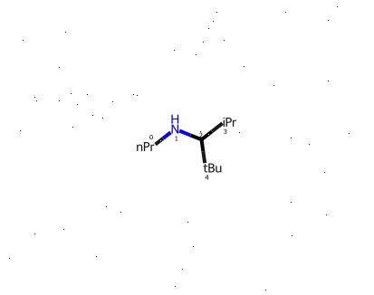 CCCNC(C(C)C)C(C)(C)C